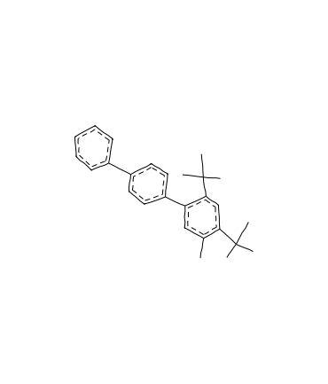 Cc1cc(-c2ccc(-c3ccccc3)cc2)c(C(C)(C)C)cc1C(C)(C)C